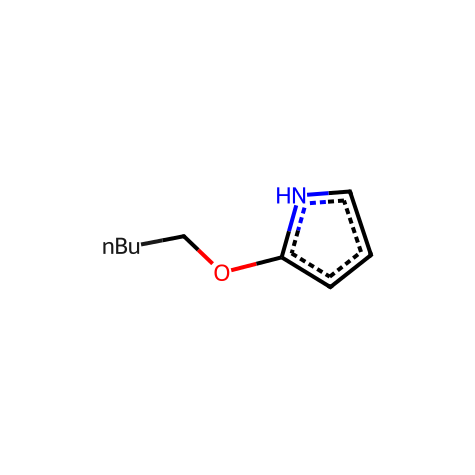 CCCCCOc1ccc[nH]1